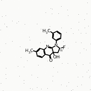 Cc1cccc(N2C3=Nc4cc(C)ccc4C(=O)C3(O)C[C@@H]2F)c1